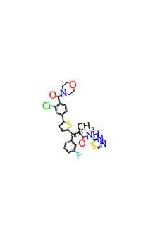 C[C@@H](C(=O)Nc1nncs1)[C@@H](c1cccc(F)c1)c1ccc(-c2ccc(C(=O)N3CCOCC3)c(Cl)c2)s1